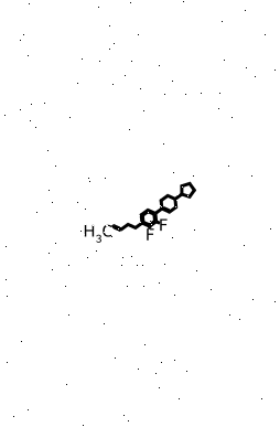 C/C=C/CCc1ccc(C2=CCC(C3CCCC3)CC2)c(F)c1F